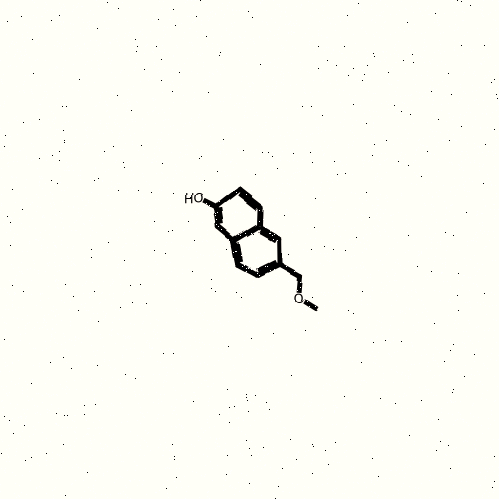 COCc1ccc2cc(O)ccc2c1